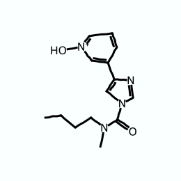 CCCCN(C)C(=O)n1cnc(-c2ccc[n+](O)c2)c1